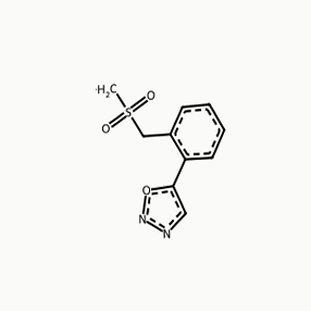 [CH2]S(=O)(=O)Cc1ccccc1-c1cnno1